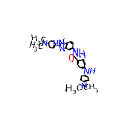 CN(C)c1ccc(Nc2ccc(C(=O)Nc3ccc4[nH]c(-c5ccc(N(C)C)cc5)nc4c3)cc2)cc1